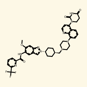 COc1cc2nn([C@H]3CC[C@H](CN4CCN(c5cccc6c(N7CCC(=O)NC7=O)ccnc56)CC4)CC3)cc2cc1NC(=O)c1cccc(C(F)(F)F)n1